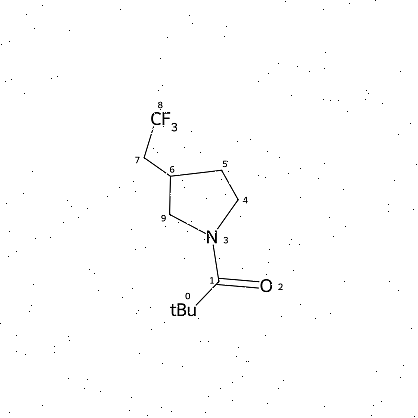 CC(C)(C)C(=O)N1CCC(CC(F)(F)F)C1